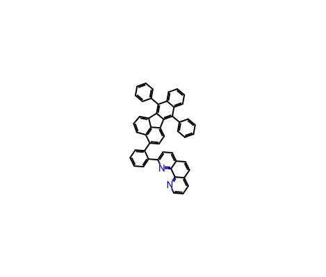 c1ccc(-c2c3c(c(-c4ccccc4)c4ccccc24)-c2ccc(-c4ccccc4-c4ccc5ccc6cccnc6c5n4)c4cccc-3c24)cc1